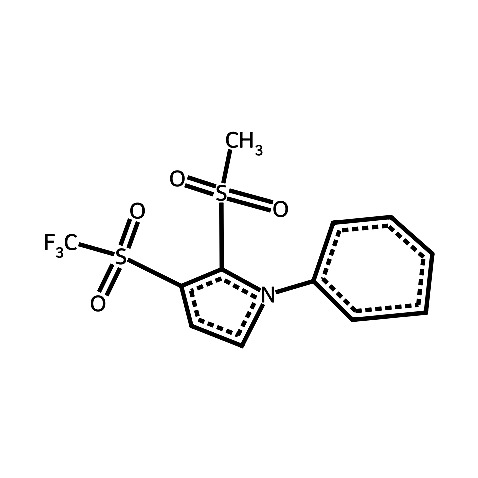 CS(=O)(=O)c1c(S(=O)(=O)C(F)(F)F)ccn1-c1ccccc1